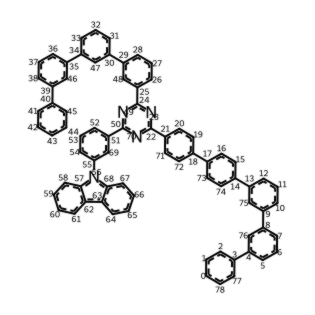 c1ccc(-c2cccc(-c3cccc(-c4ccc(-c5ccc(-c6nc(-c7cccc(-c8cccc(-c9cccc(-c%10ccccc%10)c9)c8)c7)nc(-c7cccc(-n8c9ccccc9c9ccccc98)c7)n6)cc5)cc4)c3)c2)cc1